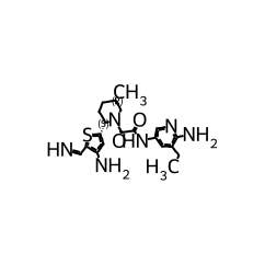 CCc1cc(NC(=O)C(=O)N2C[C@H](C)CC[C@H]2c2cc(N)c(C=N)s2)cnc1N